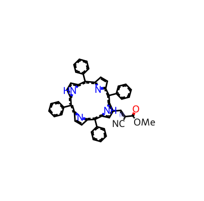 COC(=O)/C(C#N)=C/c1cc2[nH]c1c(-c1ccccc1)c1nc(c(-c3ccccc3)c3ccc([nH]3)c(-c3ccccc3)c3nc(c2-c2ccccc2)C=C3)C=C1